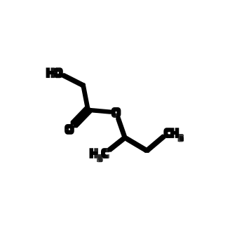 CCC(C)OC(=O)CO